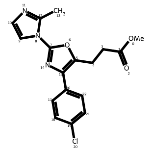 COC(=O)CCc1oc(-n2ccnc2C)nc1-c1ccc(Cl)cc1